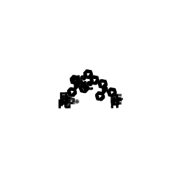 F[B-](F)(F)F.F[B-](F)(F)F.N#Cc1ccccc1.N#Cc1ccccc1.[Pd+2].c1ccc(P(c2ccccc2)c2ccccc2)cc1.c1ccc(P(c2ccccc2)c2ccccc2)cc1